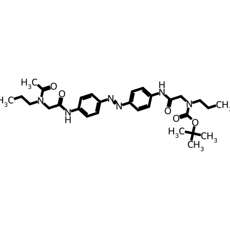 CCCN(CC(=O)Nc1ccc(/N=N/c2ccc(NC(=O)CN(CCC)C(=O)OC(C)(C)C)cc2)cc1)C(C)=O